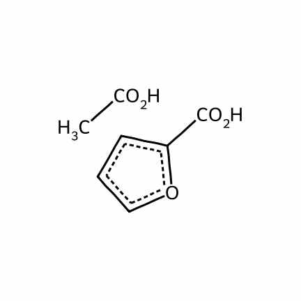 CC(=O)O.O=C(O)c1ccco1